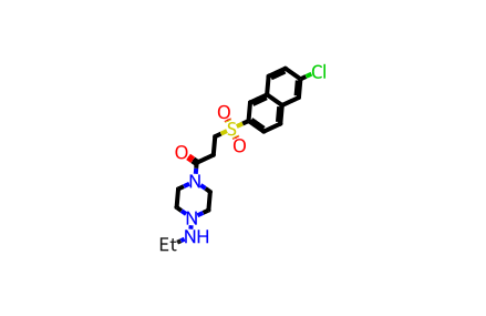 CCNN1CCN(C(=O)CCS(=O)(=O)c2ccc3cc(Cl)ccc3c2)CC1